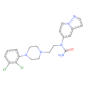 NC(=O)N(CCN1CCN(c2cccc(Cl)c2Cl)CC1)c1ccn2nccc2c1